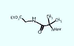 CCCCCCC(C)(C)C(=O)NCC(=O)OCC